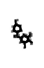 Cc1nc(Nc2ccc(F)cc2)nc(Cl)c1C